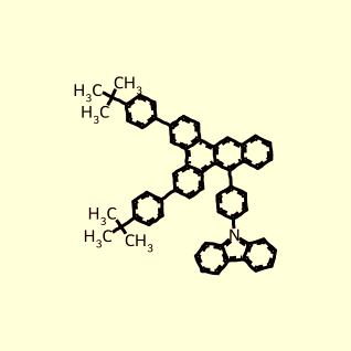 CC(C)(C)c1ccc(-c2ccc3c(c2)c2cc(-c4ccc(C(C)(C)C)cc4)ccc2c2c(-c4ccc(-n5c6ccccc6c6ccccc65)cc4)c4ccccc4cc32)cc1